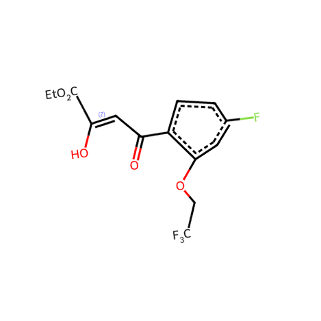 CCOC(=O)/C(O)=C/C(=O)c1ccc(F)cc1OCC(F)(F)F